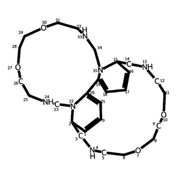 C1=CC2CNCCOCCOCCNCC3C=CC=C4C(=C1)N2CNCCOCCOCCNCN43